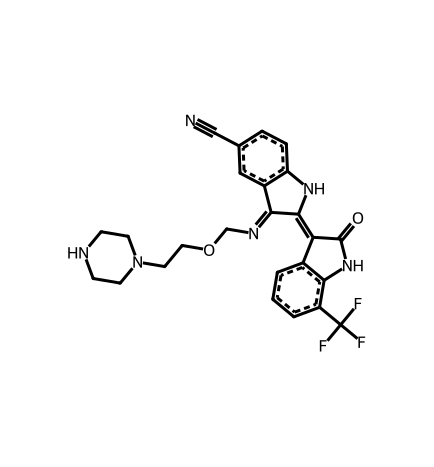 N#Cc1ccc2c(c1)C(=N\COCCN1CCNCC1)/C(=C1/C(=O)Nc3c1cccc3C(F)(F)F)N2